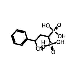 N#CC(CC(P(=O)(O)O)P(=O)(O)O)c1ccccc1